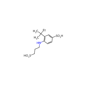 CCC(C)(C)c1cc(S(=O)(=O)O)ccc1NCCCS(=O)(=O)O